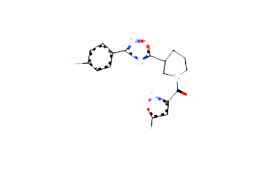 Cc1cc(C(=O)N2CCCC(c3nc(-c4ccc(F)cc4)no3)C2)no1